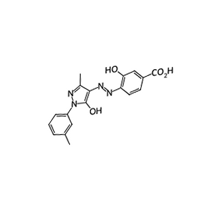 Cc1cccc(-n2nc(C)c(N=Nc3ccc(C(=O)O)cc3O)c2O)c1